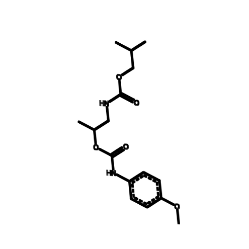 COc1ccc(NC(=O)OC(C)CNC(=O)OCC(C)C)cc1